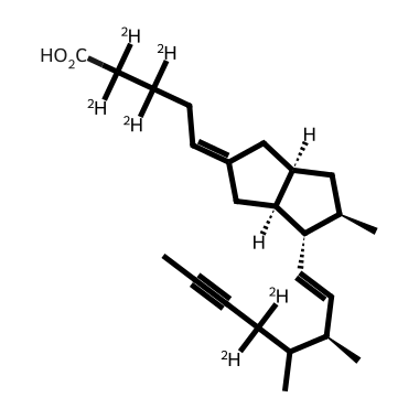 [2H]C([2H])(C#CC)C(C)[C@H](C)/C=C/[C@@H]1[C@H]2C/C(=C/CC([2H])([2H])C([2H])([2H])C(=O)O)C[C@H]2C[C@H]1C